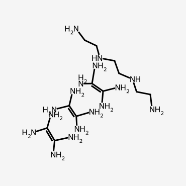 NC(N)=C(N)N.NC(N)=C(N)N.NC(N)=C(N)N.NCCNCCNCCN